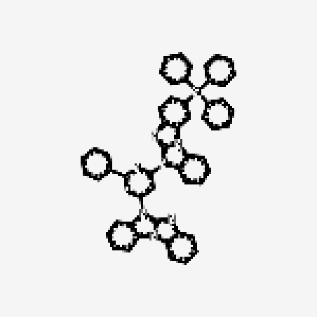 c1ccc(-c2nc(-n3c4ccccc4n4c5ccccc5nc34)cc(-n3c4ccccc4n4c5cc([Si](c6ccccc6)(c6ccccc6)c6ccccc6)ccc5nc34)n2)cc1